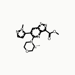 COC(=O)c1nsc2cc(-c3ccnn3C)c(N3CCOC[C@H]3C)nc12